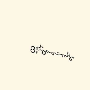 C=CC(=O)NCCOCCOCCOCCOc1cccc([C@H]2CN([C@H]3CCc4cccc(F)c43)C[C@@H]2N(C)C)c1